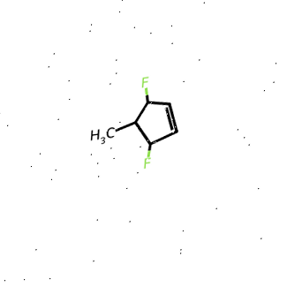 CC1C(F)C=CC1F